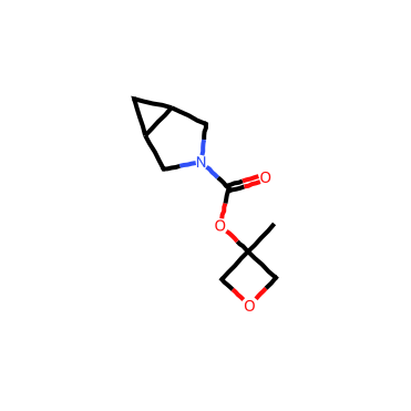 CC1(OC(=O)N2CC3CC3C2)COC1